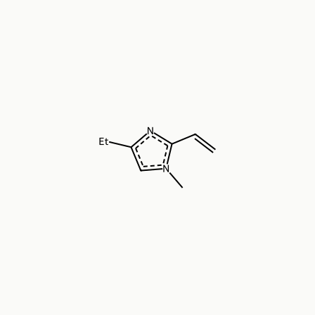 C=Cc1nc(CC)cn1C